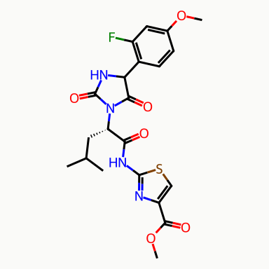 COC(=O)c1csc(NC(=O)[C@H](CC(C)C)N2C(=O)NC(c3ccc(OC)cc3F)C2=O)n1